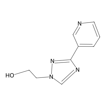 OCCn1cnc(-c2cccnc2)n1